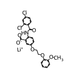 COc1ccccc1OCCOc1ccc(NC(=O)c2ccc(Cl)cc2Cl)c(C(=O)[O-])c1.[Li+]